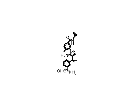 Cc1ccc(C(=O)NC2CC2)cc1-n1ncc(C(=O)c2cccc(N(N)C=O)c2)c1N